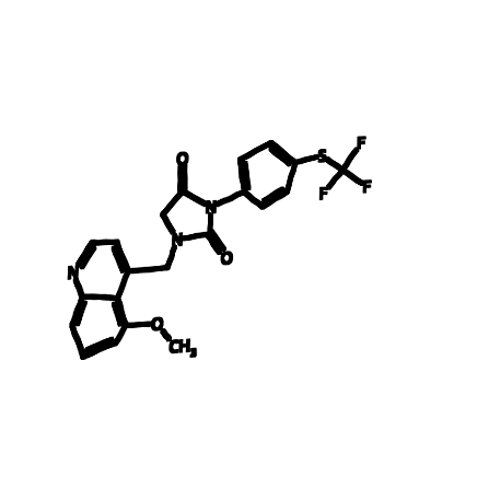 COc1cccc2nccc(CN3CC(=O)N(c4ccc(SC(F)(F)F)cc4)C3=O)c12